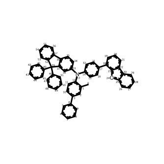 Cc1cc(-c2ccccc2)ccc1N(c1ccc(-c2cccc3c2oc2ccccc23)cc1)c1ccc2c(c1)C(c1ccccc1)(c1ccccc1)c1ccccc1-2